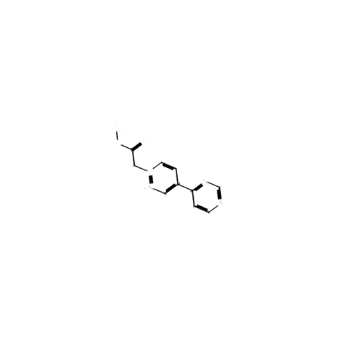 COC(=O)C[n+]1ccc(-c2ccncn2)cn1